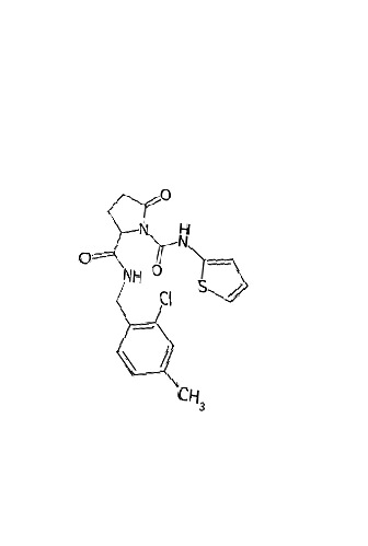 Cc1ccc(CNC(=O)C2CCC(=O)N2C(=O)Nc2cccs2)c(Cl)c1